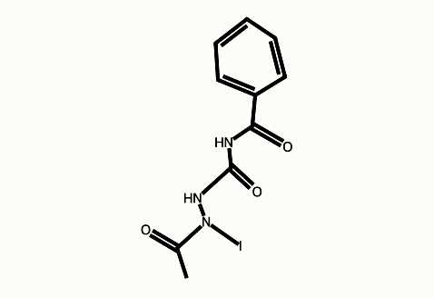 CC(=O)N(I)NC(=O)NC(=O)c1ccccc1